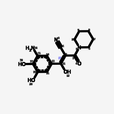 N#C/C(C(=O)N1CCCCC1)=C(/O)c1cc(N)c(O)c(O)c1